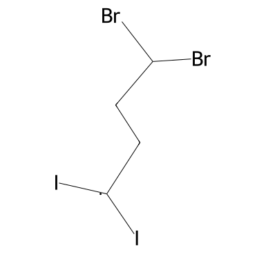 BrC(Br)CC[C](I)I